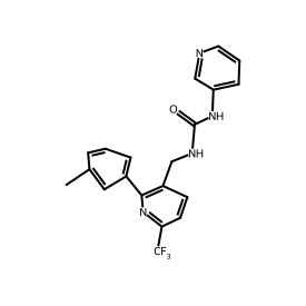 Cc1cccc(-c2nc(C(F)(F)F)ccc2CNC(=O)Nc2cccnc2)c1